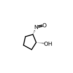 O=N[C@H]1CCC[C@H]1O